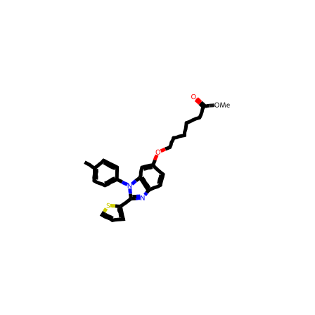 COC(=O)CCCCCOc1ccc2nc(-c3cccs3)n(-c3ccc(C)cc3)c2c1